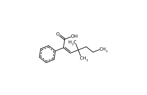 CCCC(C)(C)C=C(C(=O)O)c1ccccc1